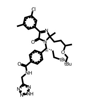 Cc1cc(Cl)cc(C2=NC(C)(CCC(C)OCC(C)(C)C)N([C@H](CCC(C)(C)C)c3ccc(C(=O)NCc4nn[nH]n4)cc3)C2=O)c1